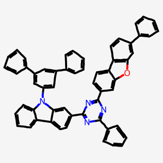 c1ccc(-c2cc(-c3ccccc3)cc(-n3c4ccccc4c4ccc(-c5nc(-c6ccccc6)nc(-c6ccc7c(c6)oc6cc(-c8ccccc8)ccc67)n5)cc43)c2)cc1